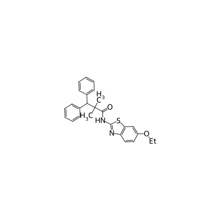 CCOc1ccc2nc(NC(=O)C(C)(C)C(c3ccccc3)c3ccccc3)sc2c1